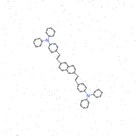 C(=Cc1ccc2cc(C=Cc3ccc(N(c4ccccc4)c4ccccc4)cc3)ccc2c1)c1ccc(N(c2ccccc2)c2ccccc2)cc1